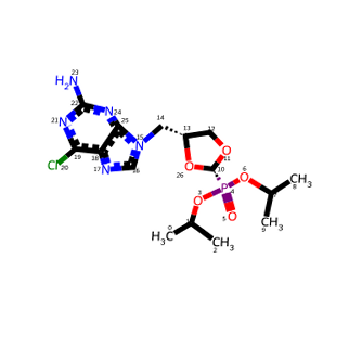 CC(C)OP(=O)(OC(C)C)[C@H]1OC[C@@H](Cn2cnc3c(Cl)nc(N)nc32)O1